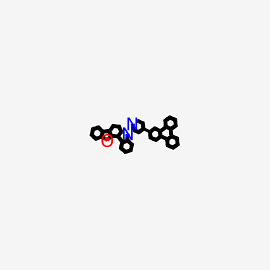 c1ccc2c(c1)oc1c2ccc2c1c1ccccc1n2-c1cc(-c2ccc3c4ccccc4c4ccccc4c3c2)ccn1